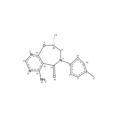 Cc1ccc(N2C[C@@H](C)Oc3ncnc(N)c3C2=O)cc1